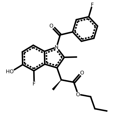 CCCOC(=O)[C@@H](C)c1c(C)n(C(=O)c2cccc(F)c2)c2ccc(O)c(F)c12